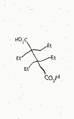 CCC(CC)(C(=O)O)C(CC)(CC)C(=O)O